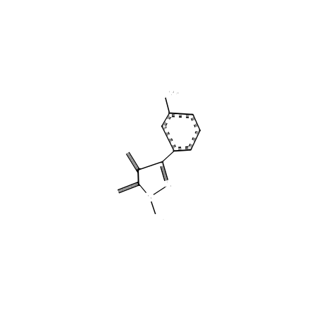 COc1cccc(C2=NN(C(C)(C)C)C(=O)C2=O)c1